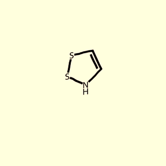 C1=CSSN1